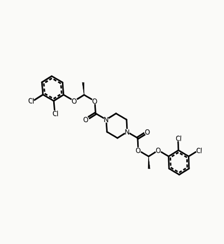 C[C@@H](OC(=O)N1CCN(C(=O)O[C@H](C)Oc2cccc(Cl)c2Cl)CC1)Oc1cccc(Cl)c1Cl